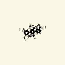 C=C(C)[C@@H]1CCC(C)=C[C@H]1c1c(O)cc(-c2cccc(C(=O)O)c2)c(C(=O)O)c1O